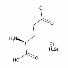 N.N[C@@H](CCC(=O)O)C(=O)O.[SeH2]